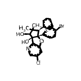 CC1(C)C(O)[C@@]2(O)c3ncc(Cl)cc3O[C@@]2(c2ccc(Br)cc2)[C@@H]1c1ccccc1